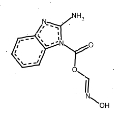 Nc1nc2ccccc2n1C(=O)OC=NO